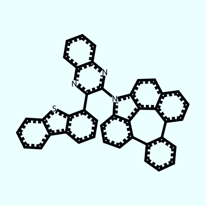 c1ccc2c(c1)-c1cccc3ccc4c(c13)c1c-2cccc1n4-c1nc2ccccc2nc1-c1cccc2c1sc1ccccc12